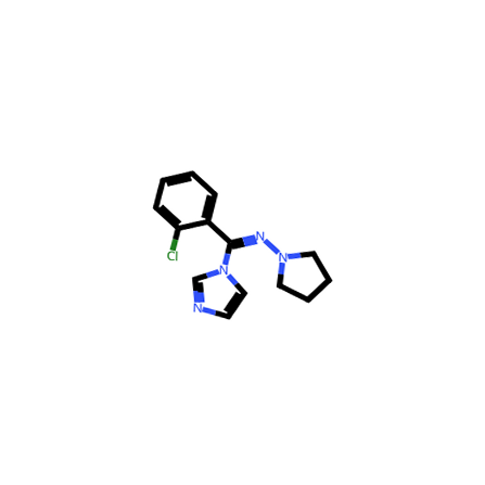 Clc1ccccc1/C(=N/N1CCCC1)n1ccnc1